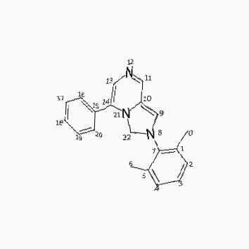 Cc1cccc(C)c1N1C=C2C=NC=C(c3ccccc3)N2C1